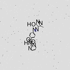 CC1=NN(C)C(O)C1/N=N/c1ccc(S(=O)(=O)Nc2ncccn2)cc1